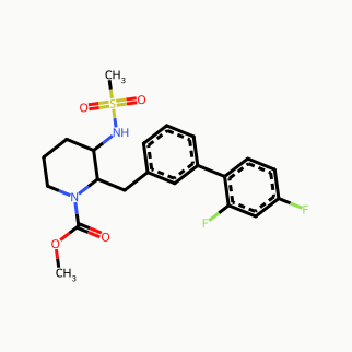 COC(=O)N1CCCC(NS(C)(=O)=O)C1Cc1cccc(-c2ccc(F)cc2F)c1